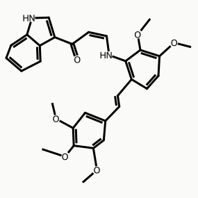 COc1cc(/C=C/c2ccc(OC)c(OC)c2N/C=C\C(=O)c2c[nH]c3ccccc23)cc(OC)c1OC